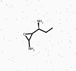 CC[C@H](N)C1OC1N